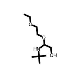 CCOCCOC(CO)NC(C)(C)C